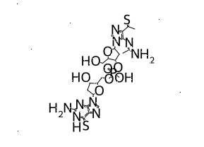 CC(=S)c1ncn([C@H]2C[C@@H](OP(=O)(O)OCC3O[C@@H](n4cnc5c(=S)[nH]c(N)nc54)C[C@H]3O)C(CO)O2)c1/N=C(\C)N